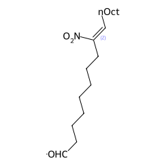 CCCCCCCC/C=C(/CCCCCCC[C]=O)[N+](=O)[O-]